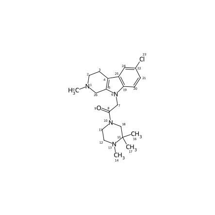 CN1CCc2c(n(CC(=O)N3CCN(C)C(C)(C)C3)c3ccc(Cl)cc23)C1